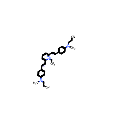 CN(CCC#N)c1ccc(/C=C/c2cccc(/C=C/c3ccc(N(C)CCC#N)cc3)[n+]2CC(F)(F)F)cc1